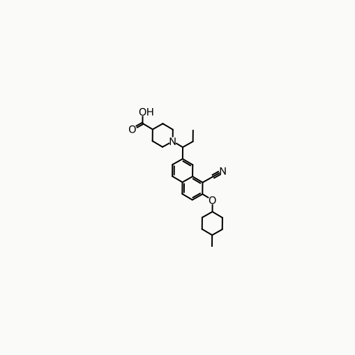 CCC(c1ccc2ccc(OC3CCC(C)CC3)c(C#N)c2c1)N1CCC(C(=O)O)CC1